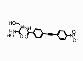 O=C(N[C@@H](CO)C(=O)NO)c1ccc(C#Cc2ccc([N+](=O)[O-])cc2)cc1